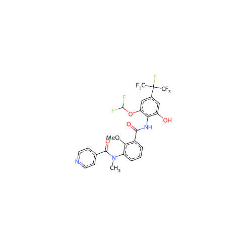 COc1c(C(=O)Nc2c(O)cc(C(F)(C(F)(F)F)C(F)(F)F)cc2OC(F)F)cccc1N(C)C(=O)c1ccncc1